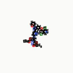 C[C@@H](Oc1ccc2c(c1)c(-c1ccc(N3CC(CCS(C)(=O)=O)(NC(=O)OC(C)(C)C)C3)nn1)nn2C1CCCCO1)c1c(Cl)cncc1Cl